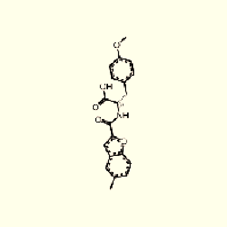 COc1ccc(C[C@H](NC(=O)c2cc3cc(C)ccc3o2)C(=O)O)cc1